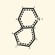 [c]1ccnc2ccncc12